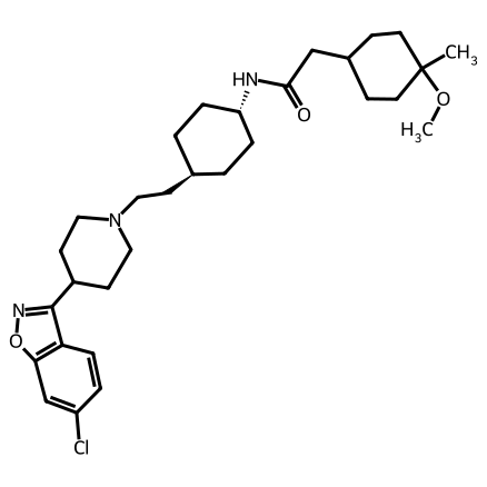 COC1(C)CCC(CC(=O)N[C@H]2CC[C@H](CCN3CCC(c4noc5cc(Cl)ccc45)CC3)CC2)CC1